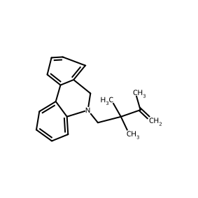 C=C(C)C(C)(C)CN1Cc2ccccc2-c2ccccc21